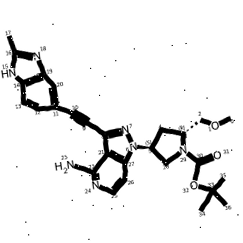 COC[C@H]1C[C@H](n2nc(C#Cc3ccc4[nH]c(C)nc4c3)c3c(N)nccc32)CN1C(=O)OC(C)(C)C